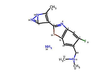 Cc1c(-c2nc3cc(F)c(CN(C)C)cc3s2)c2nn1-2.N